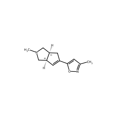 Cc1cc(C2=C[C@H]3CN(C)C[C@H]3C2)on1